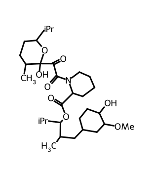 COC1CC(CC(C)C(OC(=O)C2CCCCN2C(=O)C(=O)C2(O)OC(C(C)C)CCC2C)C(C)C)CCC1O